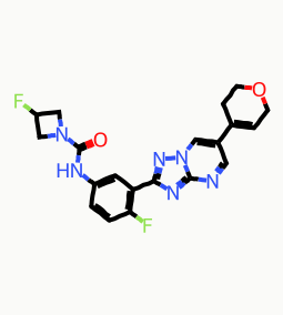 O=C(Nc1ccc(F)c(-c2nc3ncc(C4=CCOCC4)cn3n2)c1)N1CC(F)C1